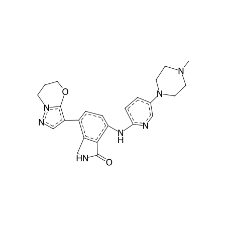 CN1CCN(c2ccc(Nc3ccc(-c4cnn5c4OCCC5)c4c3C(=O)NC4)nc2)CC1